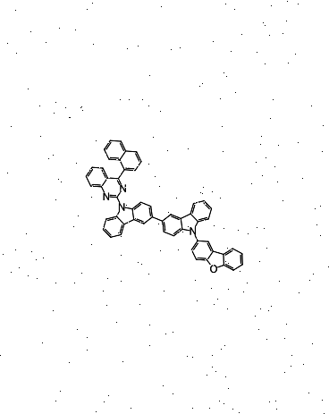 c1ccc2c(-c3nc(-n4c5ccccc5c5cc(-c6ccc7c(c6)c6ccccc6n7-c6ccc7oc8ccccc8c7c6)ccc54)nc4ccccc34)cccc2c1